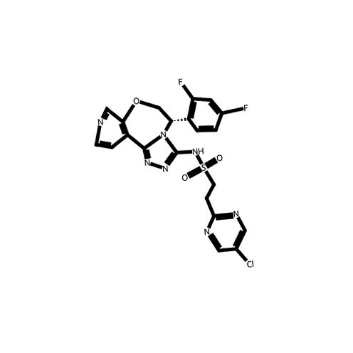 O=S(=O)(CCc1ncc(Cl)cn1)Nc1nnc2n1[C@@H](c1ccc(F)cc1F)COc1cnccc1-2